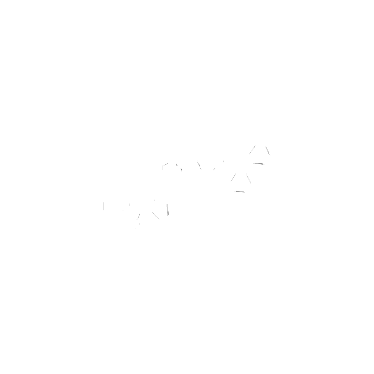 COC(=O)c1ccc(CCCN2C(=O)CCC2/C=C/C(=O)Cc2cccc(-c3ccccc3)c2)s1